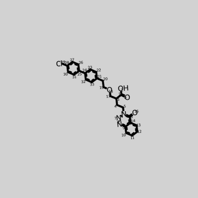 O=C(O)C(CCn1nnc2ccccc2c1=O)COCCc1ccc(-c2ccc(Cl)cc2)cc1